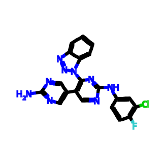 Nc1ncc(-c2cnc(Nc3ccc(F)c(Cl)c3)nc2-n2nnc3ccccc32)cn1